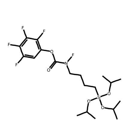 CC(C)O[Si](CCCCN(F)C(=O)Oc1cc(F)c(F)c(F)c1F)(OC(C)C)OC(C)C